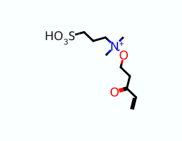 C=CC(=O)CCO[N+](C)(C)CCCS(=O)(=O)O